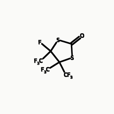 O=C1SC(F)(C(F)(F)F)C(C(F)(F)F)(C(F)(F)F)S1